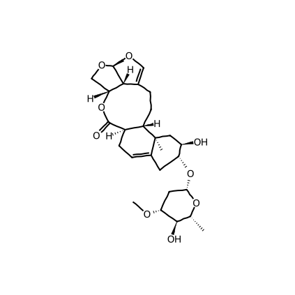 CO[C@@H]1C[C@H](O[C@@H]2CC3=CC[C@H]4C(=O)O[C@@H]5CO[C@]6(C)OC=C(CC[C@@H]4[C@@]3(C)C[C@H]2O)[C@H]56)O[C@H](C)[C@H]1O